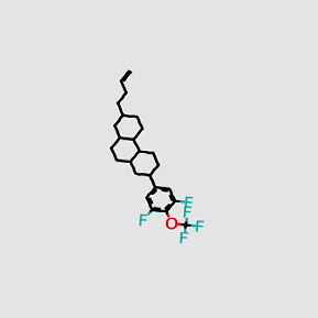 C=CCCC1CCC2C(CCC3CC(c4cc(F)c(OC(F)(F)F)c(F)c4)CCC32)C1